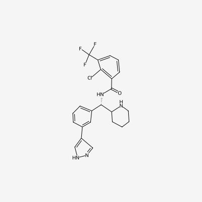 O=C(N[C@@H](c1cccc(-c2cn[nH]c2)c1)C1CCCCN1)c1cccc(C(F)(F)F)c1Cl